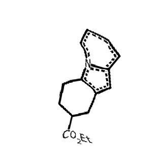 CCOC(=O)C1CCc2c(cc3ccccn23)C1